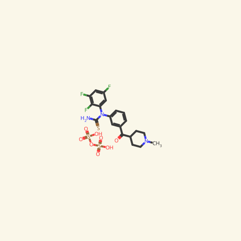 CN1CCC(C(=O)c2cccc(N(C(N)=S)c3cc(F)cc(F)c3F)c2)CC1.O=S(=O)(O)OS(=O)(=O)O